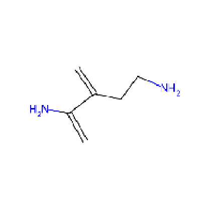 C=C(N)C(=C)CCN